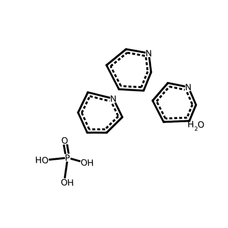 O.O=P(O)(O)O.c1ccncc1.c1ccncc1.c1ccncc1